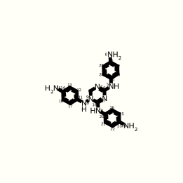 Nc1ccc(NC2=NCN(Nc3ccc(N)cc3)C(Nc3ccc(N)cc3)=N2)cc1